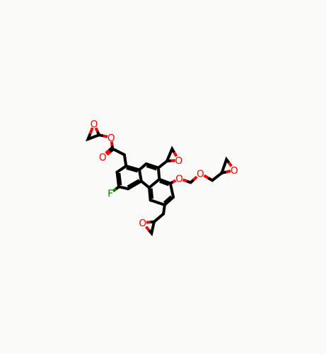 O=C(Cc1cc(F)cc2c1cc(C1CO1)c1c(OCOCC3CO3)cc(CC3CO3)cc12)OC1CO1